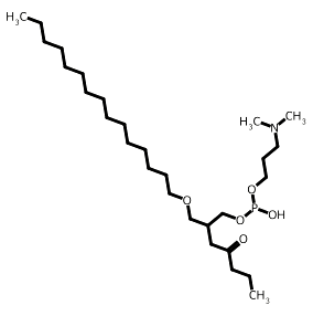 CCCCCCCCCCCCCCCOCC(COP(O)OCCCN(C)C)CC(=O)CCC